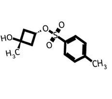 Cc1ccc(S(=O)(=O)O[C@H]2C[C@@](C)(O)C2)cc1